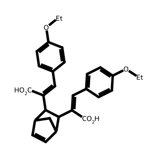 CCOc1ccc(C=C(C(=O)O)C2C3C=CC(C3)C2C(=Cc2ccc(OCC)cc2)C(=O)O)cc1